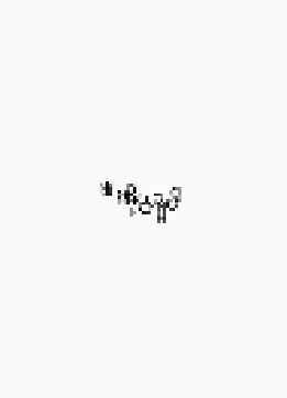 Cn1ccc(COC(=O)N[C@H]2CCc3c(C(=O)Nc4ccc(F)c(Cl)c4)ccc(F)c32)n1